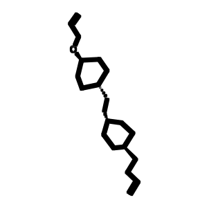 C=CCC[C@H]1CC[C@H](CC[C@H]2CC[C@H](OCC=C)CC2)CC1